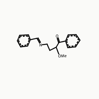 COC(CCN=Cc1ccccc1)C(=O)c1ccccc1